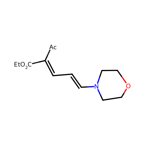 CCOC(=O)C(=CC=CN1CCOCC1)C(C)=O